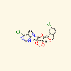 Clc1ccc2c(c1)[C@H]([C@H]1O[C@@H](n3ccc4c(Cl)ncnc43)[C@@H]3OCO[C@@H]31)OC2